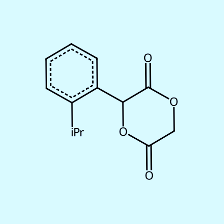 CC(C)c1ccccc1C1OC(=O)COC1=O